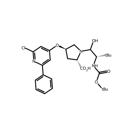 CC(C)(C)OC(=O)N[C@H](C(O)N1C[C@H](Oc2cc(Cl)nc(-c3ccccc3)c2)C[C@H]1C(=O)O)C(C)(C)C